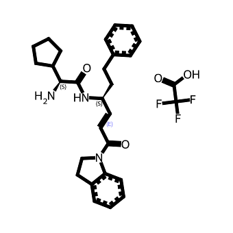 N[C@H](C(=O)N[C@H](/C=C/C(=O)N1CCc2ccccc21)CCc1ccccc1)C1CCCC1.O=C(O)C(F)(F)F